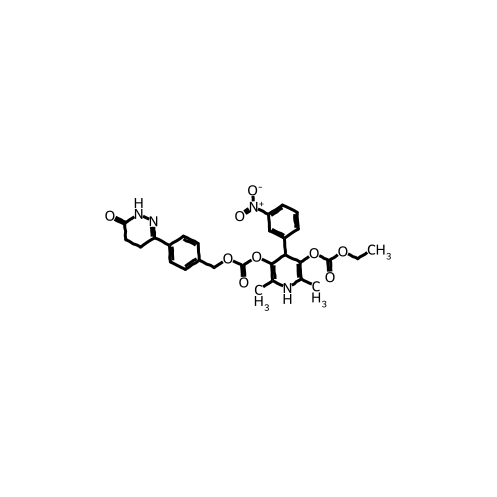 CCOC(=O)OC1=C(C)NC(C)=C(OC(=O)OCc2ccc(C3=NNC(=O)CC3)cc2)C1c1cccc([N+](=O)[O-])c1